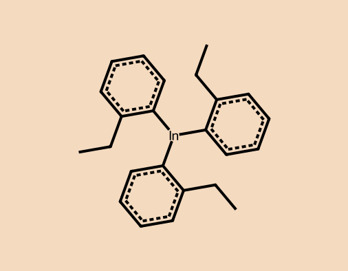 CCc1cccc[c]1[In]([c]1ccccc1CC)[c]1ccccc1CC